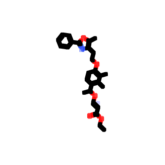 CCOC(=O)/C=C/OC(C)c1ccc(OCCc2nc(-c3ccccc3)oc2C)c(C)c1C